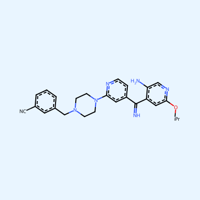 CC(C)Oc1cc(C(=N)c2ccnc(N3CCN(Cc4cccc(C#N)c4)CC3)c2)c(N)cn1